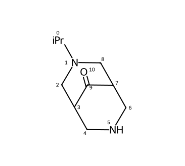 CC(C)N1CC2CNCC(C1)C2=O